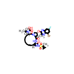 Cc1nc2c(Br)cc(F)cc2nc1O[C@@H]1C[C@H]2C(=O)N[C@]3(C(=O)NS(=O)(=O)C4(C)CC4)C[C@H]3C=CCCCCC[C@H](N(C(=O)O)C(C)(C)C)C(=O)N2C1